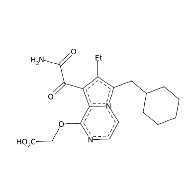 CCc1c(C(=O)C(N)=O)c2c(OCC(=O)O)nccn2c1CC1CCCCC1